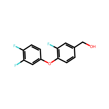 OCc1ccc(Oc2ccc(F)c(F)c2)c(F)c1